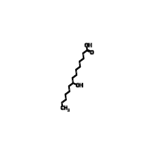 CCCCCCC(O)CCCCCCCC(=O)O